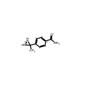 NC(=O)c1ccc(C2(C(F)(F)F)NN2)cc1